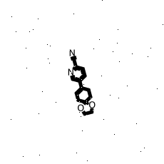 N#Cc1ccc(C2=CCC3(CC2)OCCO3)cn1